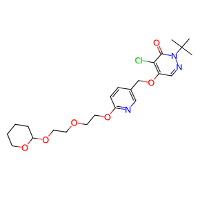 CC(C)(C)n1ncc(OCc2ccc(OCCOCCOC3CCCCO3)nc2)c(Cl)c1=O